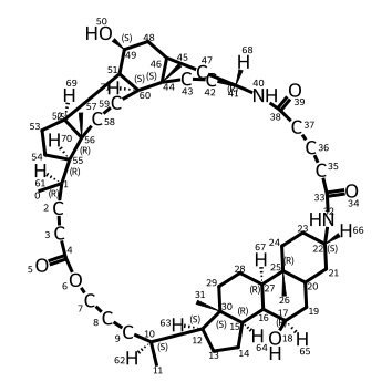 C[C@@H]1CCC(=O)OCCC[C@H](C)[C@@H]2CC[C@@H]3C4[C@H](O)CC5C[C@H](CC[C@@]5(C)[C@@H]4CC[C@]32C)NC(=O)CCCC(=O)N[C@@H]2CC[C@@]3(C)C(C2)C[C@H](O)C2[C@@H]4CC[C@H]1[C@@]4(C)CC[C@@H]23